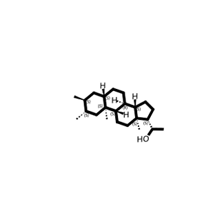 CC(O)[C@H]1CC[C@H]2[C@@H]3CC[C@H]4C[C@H](C)[C@@H](C)C[C@]4(C)[C@H]3CC[C@]12C